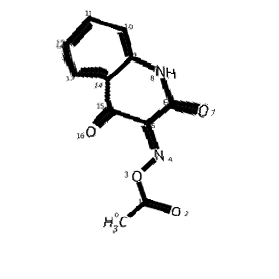 CC(=O)ON=C1C(=O)Nc2ccccc2C1=O